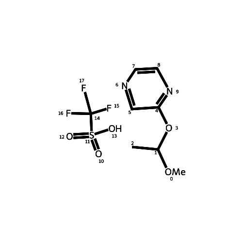 COC(C)Oc1cnccn1.O=S(=O)(O)C(F)(F)F